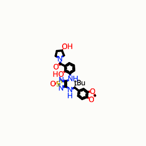 CC(C)(C)[C@@H](Nc1n[s+]([O-])nc1Nc1cccc(C(=O)N2CC[C@@H](O)C2)c1O)c1ccc2c(c1)OCO2